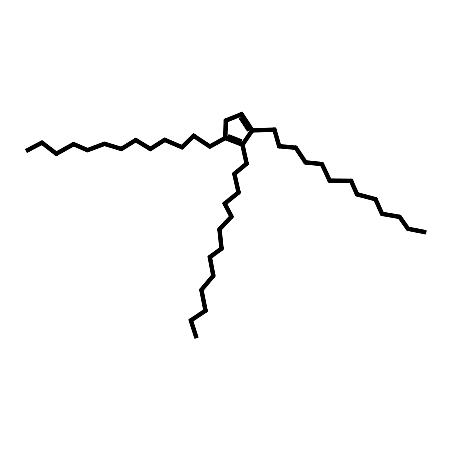 CCCCCCCCCCCCCC1=CCC(CCCCCCCCCCCCC)=C1CCCCCCCCCCCCC